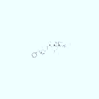 CC1CC(C(=O)C2CCC3C(C=NN3Cc3ccccc3)C2)C(=O)N(C(=O)OC(C)(C)C)C1